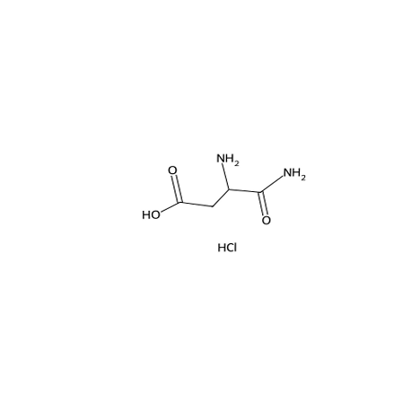 Cl.NC(=O)C(N)CC(=O)O